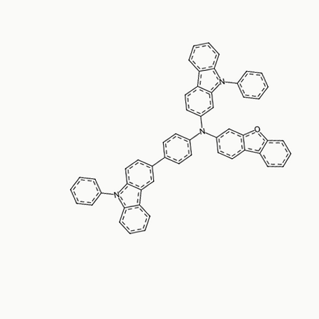 c1ccc(-n2c3ccccc3c3cc(-c4ccc(N(c5ccc6c(c5)oc5ccccc56)c5ccc6c7ccccc7n(-c7ccccc7)c6c5)cc4)ccc32)cc1